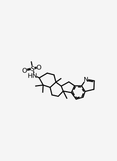 CC12CCC3C(C)(C)C(NS(C)(=O)=O)CCC3(C)C1Cc1c2ccc2c1N=CC2